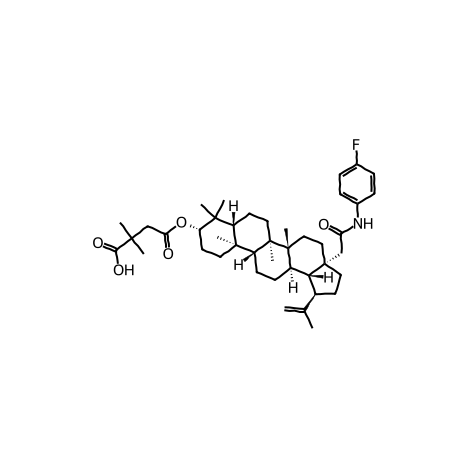 C=C(C)[C@@H]1CC[C@]2(CC(=O)Nc3ccc(F)cc3)CC[C@]3(C)[C@H](CC[C@@H]4[C@@]5(C)CC[C@H](OC(=O)CC(C)(C)C(=O)O)C(C)(C)[C@@H]5CC[C@]43C)[C@@H]12